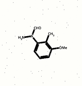 COc1cccc(N(N)C=O)c1C